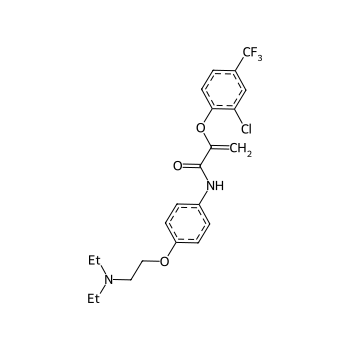 C=C(Oc1ccc(C(F)(F)F)cc1Cl)C(=O)Nc1ccc(OCCN(CC)CC)cc1